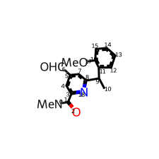 CNC(=O)c1cc(C=O)cc(C(C)c2ccccc2OC)n1